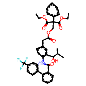 CCOC(=O)C(COC(=O)Cc1ccc(NC(=O)c2ccccc2-c2ccc(C(F)(F)F)cc2)c(C(O)C(C)C)c1)(C(=O)OCC)c1ccccc1